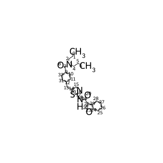 CCCN(CCC)C(=O)c1ccc(Cc2cnc(NC(=O)c3coc4ccccc34)s2)cc1